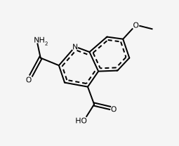 COc1ccc2c(C(=O)O)cc(C(N)=O)nc2c1